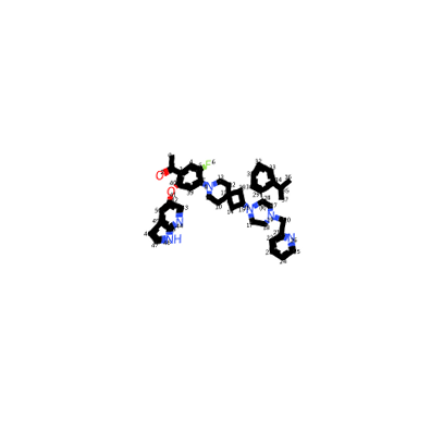 CC(=O)c1cc(F)c(N2CCC3(CC2)CC(N2CCN(Cc4ccccn4)C[C@H]2c2ccccc2C(C)C)C3)cc1Oc1cnc2[nH]ccc2c1